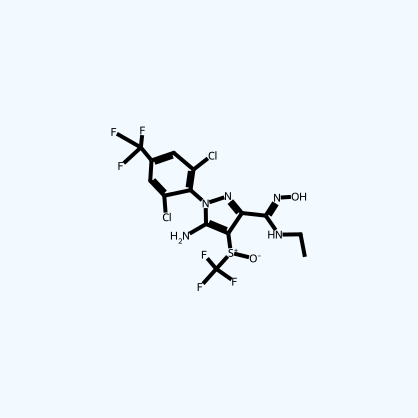 CCNC(=NO)c1nn(-c2c(Cl)cc(C(F)(F)F)cc2Cl)c(N)c1[S+]([O-])C(F)(F)F